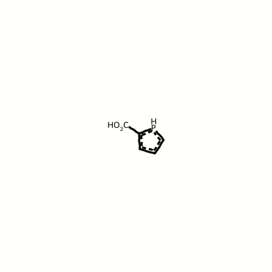 O=C(O)c1ccc[pH]1